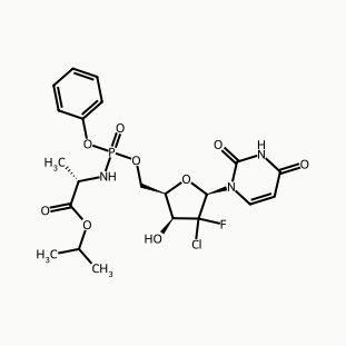 CC(C)OC(=O)[C@H](C)NP(=O)(OC[C@H]1O[C@@H](n2ccc(=O)[nH]c2=O)C(F)(Cl)[C@H]1O)Oc1ccccc1